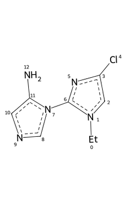 CCn1cc(Cl)nc1-n1cncc1N